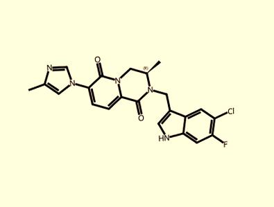 Cc1cn(-c2ccc3n(c2=O)C[C@@H](C)N(Cc2c[nH]c4cc(F)c(Cl)cc24)C3=O)cn1